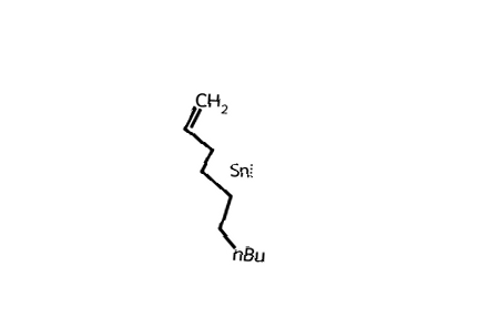 C=CCCCCCCCC.[Sn]